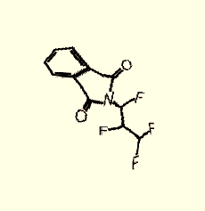 O=C1c2ccccc2C(=O)N1C(F)C(F)C(F)F